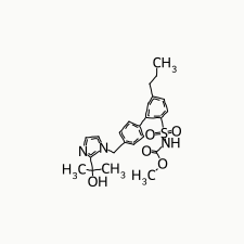 CCCc1ccc(S(=O)(=O)NC(=O)OC)c(-c2ccc(Cn3ccnc3C(C)(C)O)cc2)c1